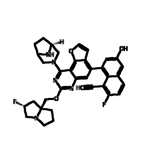 C#Cc1c(F)ccc2cc(O)cc(-c3cc4nc(OC[C@@]56CCCN5C[C@H](F)C6)nc(N5CC6CC[C@@H](C5)N6)c4c4occc34)c12